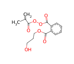 C=C(C)C(=O)OOC(=O)c1ccccc1C(=O)OCCCO